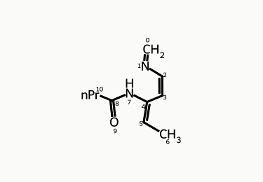 C=N/C=C\C(=C/C)NC(=O)CCC